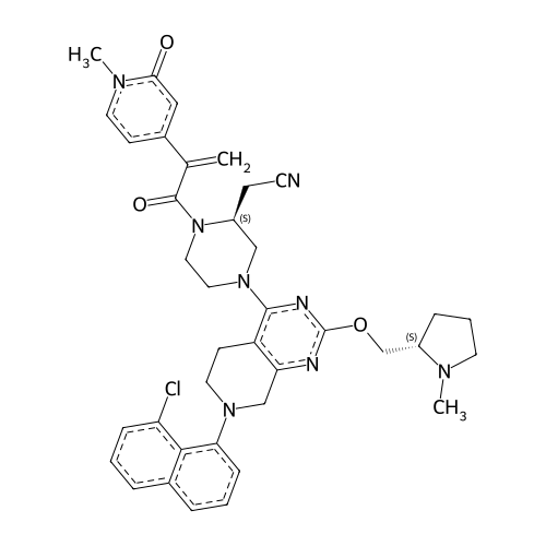 C=C(C(=O)N1CCN(c2nc(OC[C@@H]3CCCN3C)nc3c2CCN(c2cccc4cccc(Cl)c24)C3)C[C@@H]1CC#N)c1ccn(C)c(=O)c1